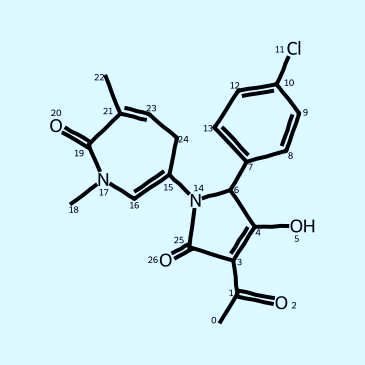 CC(=O)C1=C(O)C(c2ccc(Cl)cc2)N(C2=CN(C)C(=O)C(C)=CC2)C1=O